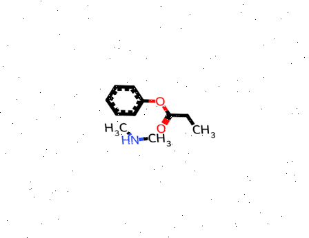 CCC(=O)Oc1ccccc1.CNC